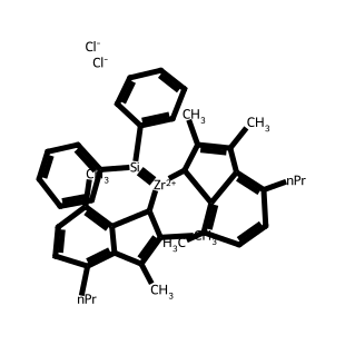 CCCc1ccc(C)c2c1C(C)=C(C)[CH]2[Zr+2]([CH]1C(C)=C(C)c2c(CCC)ccc(C)c21)=[Si](c1ccccc1)c1ccccc1.[Cl-].[Cl-]